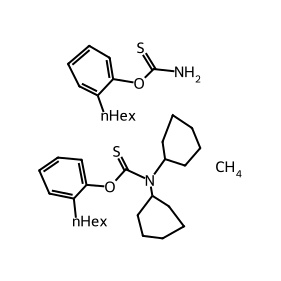 C.CCCCCCc1ccccc1OC(=S)N(C1CCCCC1)C1CCCCC1.CCCCCCc1ccccc1OC(N)=S